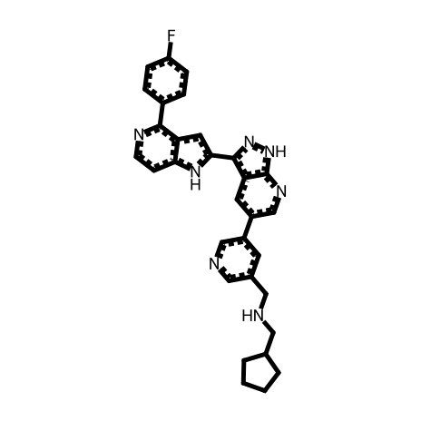 Fc1ccc(-c2nccc3[nH]c(-c4n[nH]c5ncc(-c6cncc(CNCC7CCCC7)c6)cc45)cc23)cc1